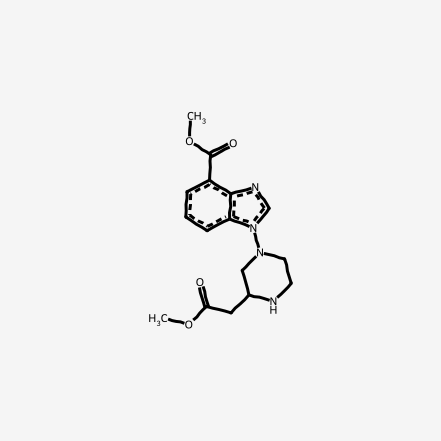 COC(=O)CC1CN(n2cnc3c(C(=O)OC)cccc32)CCN1